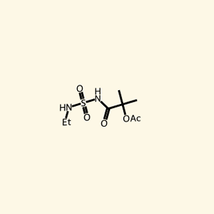 CCNS(=O)(=O)NC(=O)C(C)(C)OC(C)=O